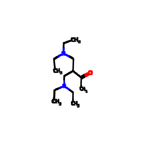 CCN(CC)CC(CN(CC)CC)C(C)=O